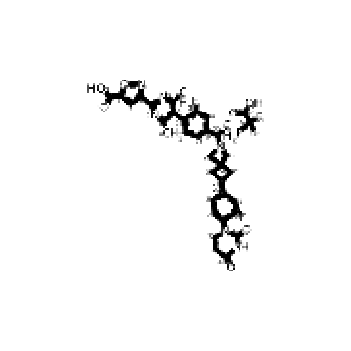 Cc1nc(-c2cc(C(=O)O)on2)nc(C)c1-c1ccc(C(C)N2CC3(CC(c4ccc(N5CCC(=O)NC5=O)c(F)c4)C3)C2)cc1F.O=C(O)C(F)(F)F